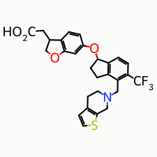 O=C(O)CC1COc2cc(O[C@@H]3CCc4c3ccc(C(F)(F)F)c4CN3CCc4ccsc4C3)ccc21